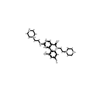 O=C(OCCN1CCOCC1)c1cnc(OCCN2CCOCC2)nc1-c1ccc(F)cc1Cl